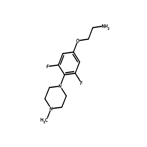 CN1CCN(c2c(F)cc(OCCN)cc2F)CC1